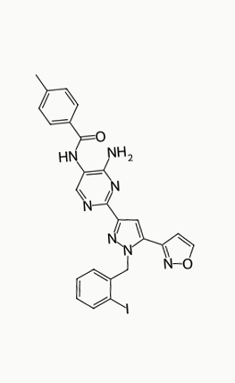 Cc1ccc(C(=O)Nc2cnc(-c3cc(-c4ccon4)n(Cc4ccccc4I)n3)nc2N)cc1